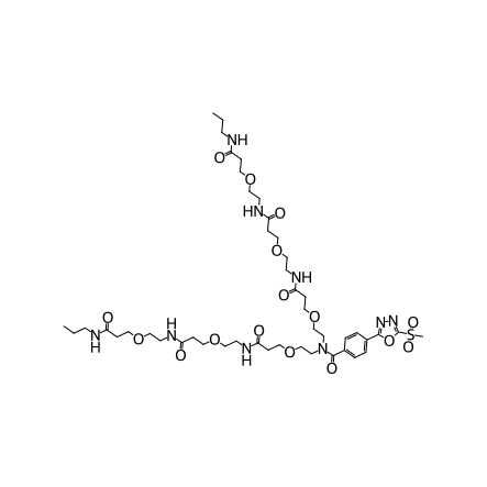 CCCNC(=O)CCOCCNC(=O)CCOCCNC(=O)CCOCCN(CCOCCC(=O)NCCOCCC(=O)NCCOCCC(=O)NCCC)C(=O)c1ccc(-c2nnc(S(C)(=O)=O)o2)cc1